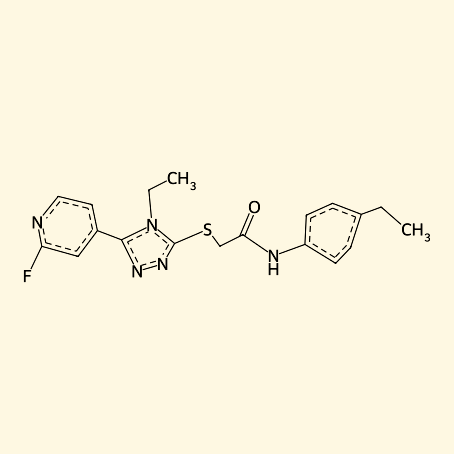 CCc1ccc(NC(=O)CSc2nnc(-c3ccnc(F)c3)n2CC)cc1